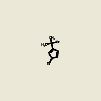 CCn1cnc(C(C)(C)CC)n1